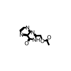 CC(=O)OCc1nc2nccnc2c(=O)[nH]1